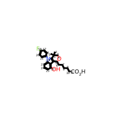 CC1(C)COC(CCCCCC(=O)O)c2c1n(-c1ccc(F)cc1)c1cccc(O)c21